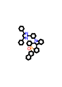 O=P1(c2ccc3ccccc3c2)c2ccccc2-c2c(n(-c3cccc(-c4nc(-c5ccccc5)cc(-c5ccccc5)n4)c3)c3ccccc23)-c2ccccc21